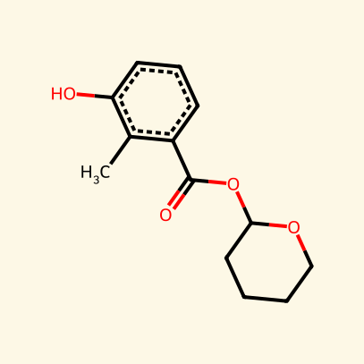 Cc1c(O)cccc1C(=O)OC1CCCCO1